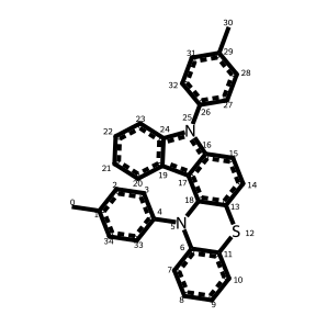 Cc1ccc(N2c3ccccc3Sc3ccc4c(c32)c2ccccc2n4-c2ccc(C)cc2)cc1